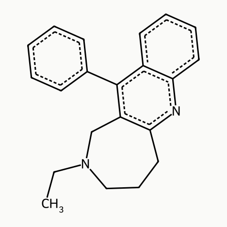 CCN1CCCc2nc3ccccc3c(-c3ccccc3)c2C1